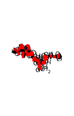 CCC(C)C(C(CC(=O)N1CCCC1C(OC)C(C)C(=O)N[C@@H](Cc1ccccc1)C(=O)NCCc1ccc(NC(=O)[C@H](CCCNC(N)=O)NC(=O)C(NC(=O)C2OC(CNC(=O)CCCCCN3C(=O)C=CC3=O)[C@H](O)[C@@H](O)[C@@H]2O)C(C)C)cc1)OC)N(C)C(=O)[C@@H](NC(=O)C(C(C)C)N(C)C)C(C)C